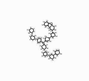 c1ccc(-c2cccc(-c3ccc(N(c4ccc(-c5cccc(-c6cccc(-c7ccccc7)c6)c5)cc4)c4ccc(-c5cccc(-c6ccc7oc8ccccc8c7c6)c5)cc4)cc3)c2)cc1